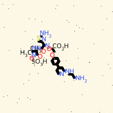 CC1(C)[C@H](NC(=O)/C(=N\OC(COc2ccc(-c3ccnc(NCCCN)c3)cc2)C(=O)O)c2csc(N)n2)C(=O)N1OS(=O)(=O)O